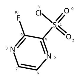 O=S(=O)(Cl)c1nccnc1F